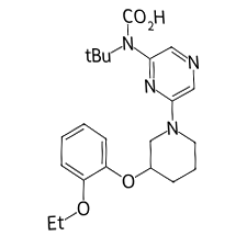 CCOc1ccccc1OC1CCCN(c2cncc(N(C(=O)O)C(C)(C)C)n2)C1